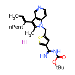 CC=C(CCCCC)c1c(C)n(Cc2cc(C(=N)NC(=O)OC(C)(C)C)cs2)c2ccncc12.I